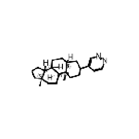 C[C@@]12CCC[C@@H]1[C@@H]1CC[C@@H]3CC(c4ccnnc4)CC[C@]3(C)[C@H]1CC2